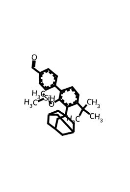 C[SiH](C)Oc1c(-c2ccc(C=O)cc2)ccc(C(C)(C)C)c1C12CC3CC(CC(C3)C1)C2